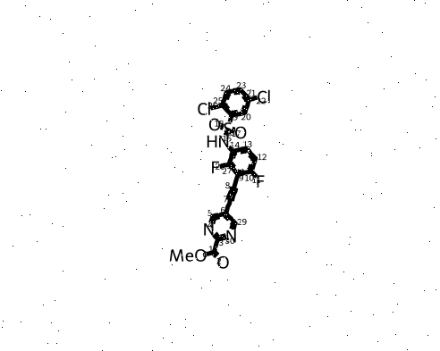 COC(=O)c1ncc(C#Cc2c(F)ccc(NS(=O)(=O)c3cc(Cl)ccc3Cl)c2F)cn1